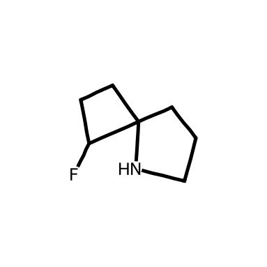 FC1CCC12CCCN2